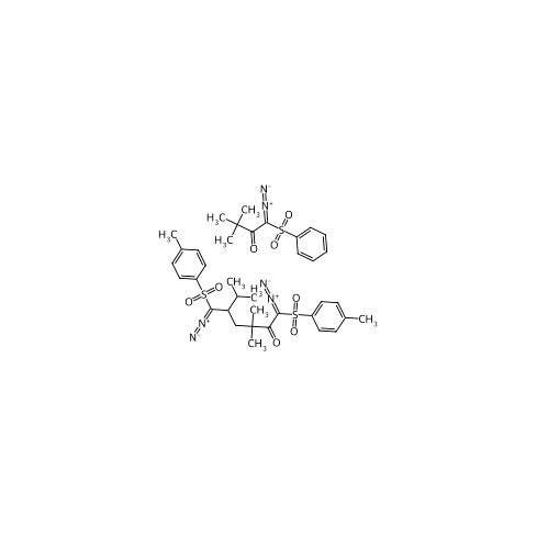 CC(C)(C)C(=O)C(=[N+]=[N-])S(=O)(=O)c1ccccc1.Cc1ccc(S(=O)(=O)C(=[N+]=[N-])C(=O)C(C)(C)CC(C(=[N+]=[N-])S(=O)(=O)c2ccc(C)cc2)C(C)C)cc1